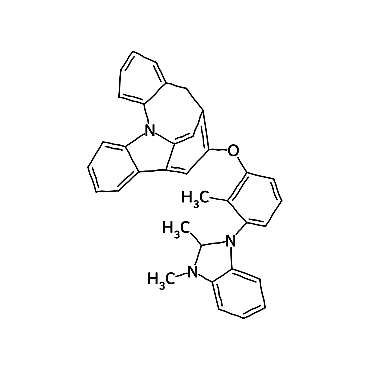 Cc1c(Oc2cc3c4ccccc4n4c3cc2Cc2ccccc2-4)cccc1N1c2ccccc2N(C)C1C